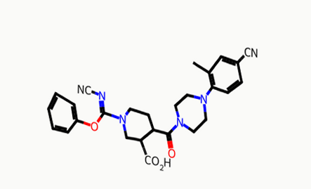 Cc1cc(C#N)ccc1N1CCN(C(=O)C2CCN(C(=NC#N)Oc3ccccc3)CC2C(=O)O)CC1